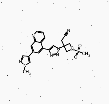 Cn1cc(-c2cc(-c3cn(C4(CC#N)CN(S(C)(=O)=O)C4)nn3)c3cccnc3c2)cn1